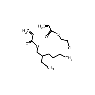 C=CC(=O)OCC(CC)CCCC.C=CC(=O)OCCCl